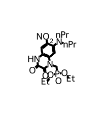 CCCN(CCC)c1cc2c(cc1[N+](=O)[O-])[nH]c(=O)c(=O)n2CP(=O)(OCC)OCC